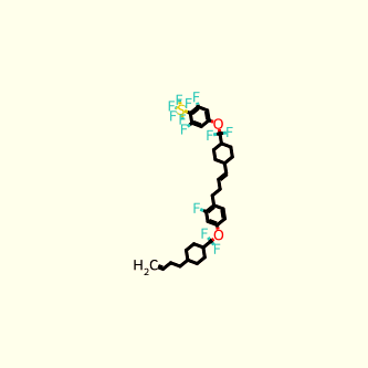 C=CCCC1CCC(C(F)(F)Oc2ccc(CC/C=C/C3CCC(C(F)(F)Oc4cc(F)c(S(F)(F)(F)(F)F)c(F)c4)CC3)c(F)c2)CC1